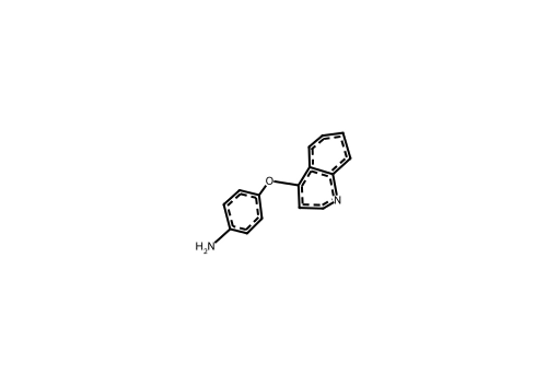 Nc1ccc(Oc2ccnc3ccccc23)cc1